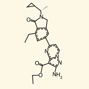 CCOC(=O)c1c(N)nn2ccc(-c3cc(CC)c4c(c3)CN([C@@H](C)C3CC3)C4=O)nc12